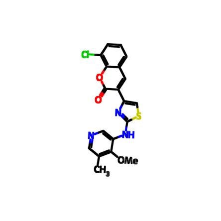 COc1c(C)cncc1Nc1nc(-c2cc3cccc(Cl)c3oc2=O)cs1